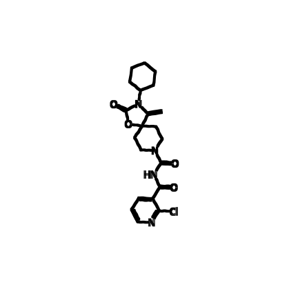 C=C1N(C2CCCCC2)C(=O)OC12CCN(C(=O)NC(=O)c1cccnc1Cl)CC2